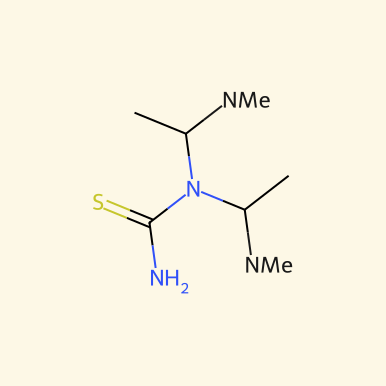 CNC(C)N(C(N)=S)C(C)NC